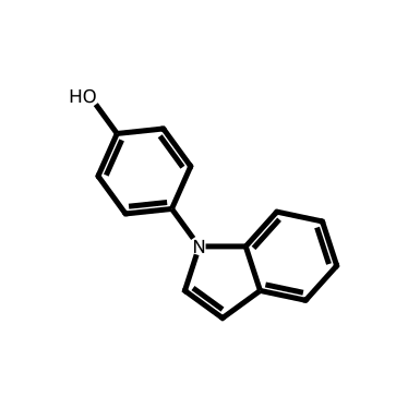 Oc1ccc(-n2ccc3ccccc32)cc1